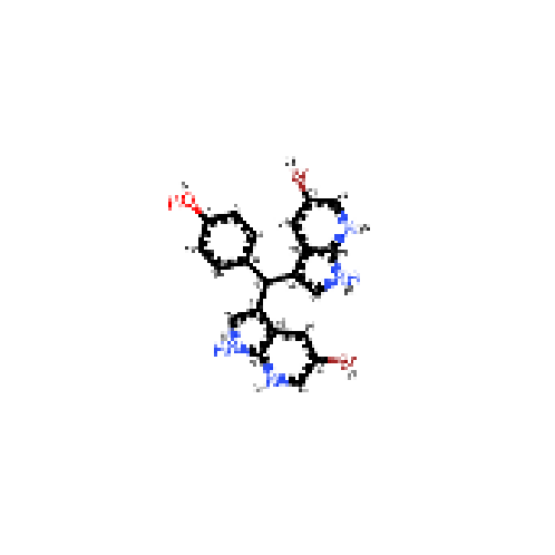 Oc1ccc(C(c2c[nH]c3ncc(Br)cc23)c2c[nH]c3ncc(Br)cc23)cc1